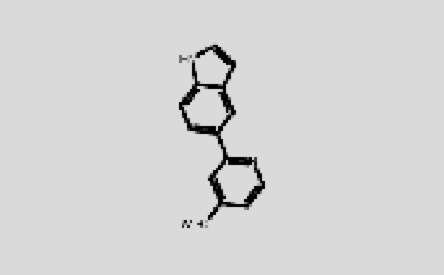 COc1[c]c(-c2ccc3[nH]ccc3c2)ncc1